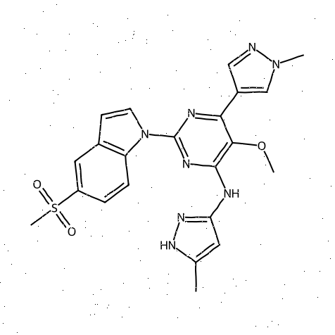 COc1c(Nc2cc(C)[nH]n2)nc(-n2ccc3cc(S(C)(=O)=O)ccc32)nc1-c1cnn(C)c1